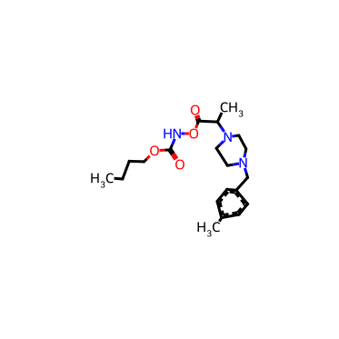 CCCCOC(=O)NOC(=O)C(C)N1CCN(Cc2ccc(C)cc2)CC1